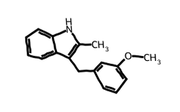 COc1cccc(Cc2c(C)[nH]c3ccccc23)c1